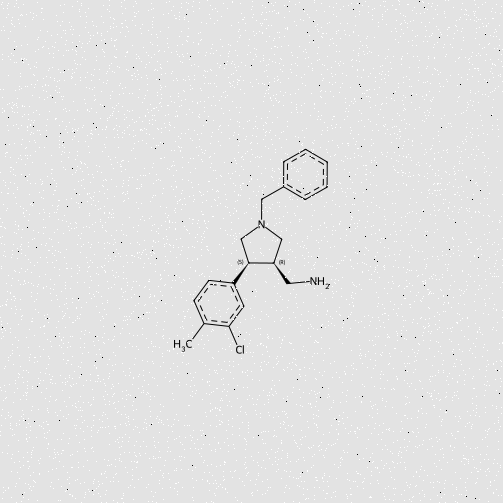 Cc1ccc([C@H]2CN(Cc3ccccc3)C[C@H]2CN)cc1Cl